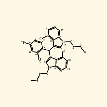 CCCCn1cc(C(c2ccc(F)cc2Cl)c2cn(CCCC)c3cccc(Cl)c23)c2c(Cl)cccc21